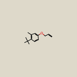 C=CCOc1ccc(C(C)(C)C)c(C)c1